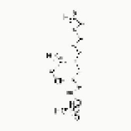 C=CCCCCCCCCCO[PH](=O)O.CCCC